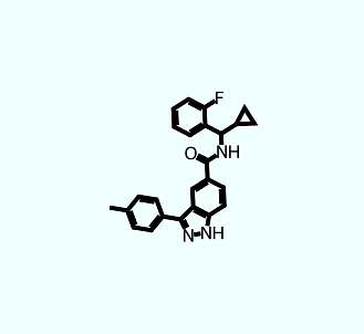 Cc1ccc(-c2n[nH]c3ccc(C(=O)NC(c4ccccc4F)C4CC4)cc23)cc1